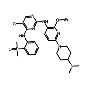 CC(C)Oc1nc(N2CCC(N(C)C)CC2)ccc1Nc1ncc(Cl)c(Nc2ccccc2P(C)(C)=O)n1